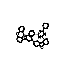 c1ccc(-c2nc(-c3ccccc3)nc(-c3cccc4oc5ccc(-c6ccc7c(c6)c6cccc8c6n7-c6ccccc6O8)cc5c34)n2)cc1